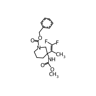 COC(=O)NC1(C(C)=C(F)F)CCCN(C(=O)OCc2ccccc2)C1